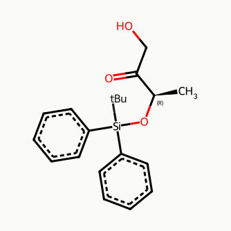 C[C@@H](O[Si](c1ccccc1)(c1ccccc1)C(C)(C)C)C(=O)CO